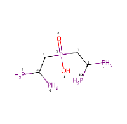 O=P(O)(CC(P)P)CC(P)P